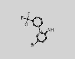 N=c1ccc(Br)cn1-c1cccc(C(F)(F)Cl)c1